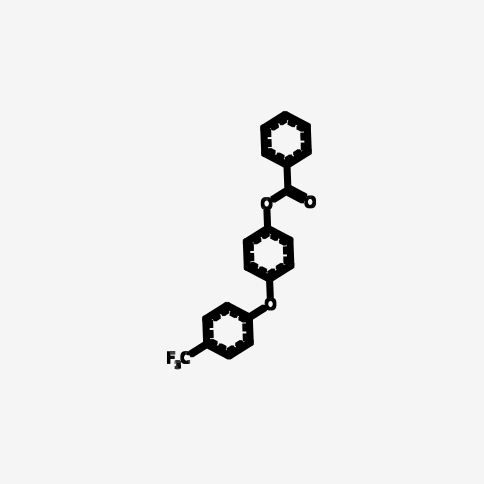 O=C(Oc1ccc(Oc2ccc(C(F)(F)F)cc2)cc1)c1ccccc1